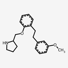 COc1cccc(CCc2ccccc2OCC2CCCN2)c1